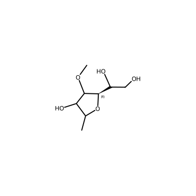 COC1C(O)C(C)O[C@@H]1C(O)CO